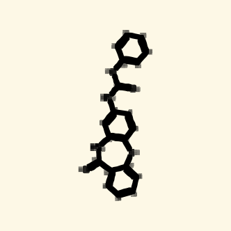 O=C(Nc1ccc2c(c1)NC(=O)c1ccccc1S2)Oc1ccccc1